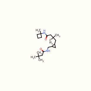 CC(C)(C)CC(=O)NCC1CC1CC(C)(C)CC(=O)NC1(C)CCC1